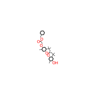 Cc1cc2c(cc1O)C(C)(C)CC1(CC(C)(C)c3cc(OCC(=O)OCc4ccccc4)c(C)cc3O1)O2